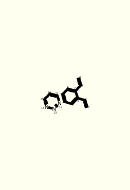 C=Cc1ccccc1C=C.c1cnnnc1